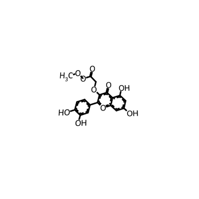 COOC(=O)COc1c(-c2ccc(O)c(O)c2)oc2cc(O)cc(O)c2c1=O